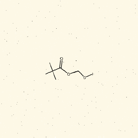 CC(C)(C)C(=O)OCOI